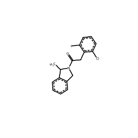 CC1c2ccccc2CN1C(=O)Cc1c(Cl)cccc1I